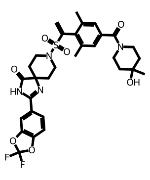 C=C(c1c(C)cc(C(=O)N2CCC(C)(O)CC2)cc1C)S(=O)(=O)N1CCC2(CC1)N=C(c1ccc3c(c1)OC(F)(F)O3)NC2=O